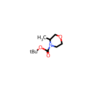 CC1COCCN1C(=O)OC(C)(C)C